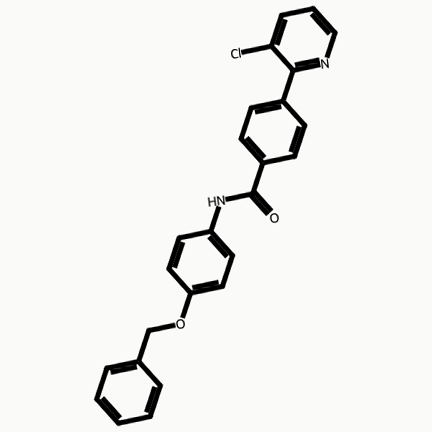 O=C(Nc1ccc(OCc2ccccc2)cc1)c1ccc(-c2ncccc2Cl)cc1